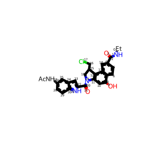 CCNC(=O)c1ccc2c(O)cc3c(c2c1)C(CCl)CN3C(=O)c1cc2cc(NC(C)=O)ccc2[nH]1